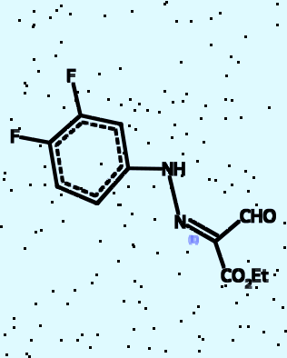 CCOC(=O)/C(C=O)=N/Nc1ccc(F)c(F)c1